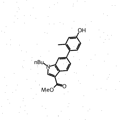 CCCCn1cc(C(=O)OC)c2ccc(-c3ccc(O)cc3C)cc21